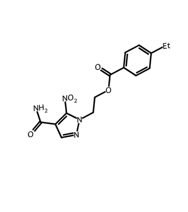 CCc1ccc(C(=O)OCCn2ncc(C(N)=O)c2[N+](=O)[O-])cc1